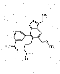 CCc1ccc2c(-c3cncc(C(C)=O)c3)c(CCCC(=O)O)c(COC)nn12